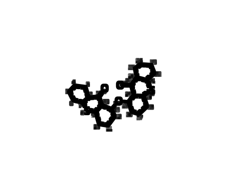 O=c1c2ccccc2sc2cccc(Oc3cccc4sc5ccccc5c(=O)c34)c12